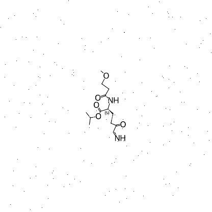 COCCC(=O)N[C@@H](CCC(=O)C=N)C(=O)OC(C)C